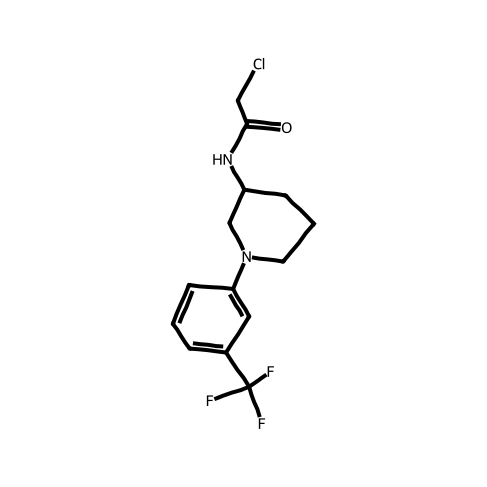 O=C(CCl)NC1CCCN(c2cccc(C(F)(F)F)c2)C1